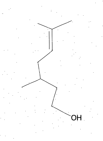 CC(C)=CCC(C)CCO